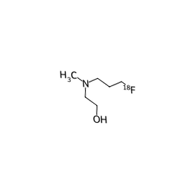 CN(CCO)CCC[18F]